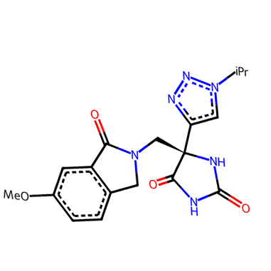 COc1ccc2c(c1)C(=O)N(C[C@@]1(c3cn(C(C)C)nn3)NC(=O)NC1=O)C2